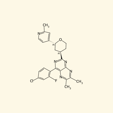 Cc1cc([C@H]2C[C@H](c3nc(-c4ccc(Cl)cc4F)c4nc(C)c(C)nc4n3)CCO2)ccn1